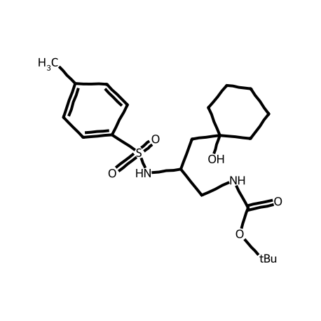 Cc1ccc(S(=O)(=O)NC(CNC(=O)OC(C)(C)C)CC2(O)CCCCC2)cc1